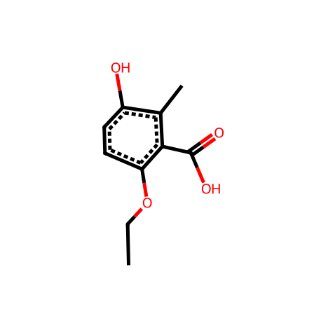 CCOc1ccc(O)c(C)c1C(=O)O